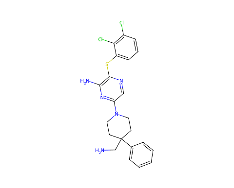 NCC1(c2ccccc2)CCN(c2cnc(Sc3cccc(Cl)c3Cl)c(N)n2)CC1